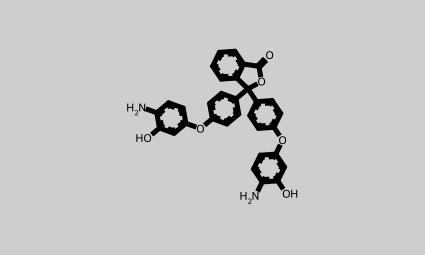 Nc1ccc(Oc2ccc(C3(c4ccc(Oc5ccc(N)c(O)c5)cc4)OC(=O)c4ccccc43)cc2)cc1O